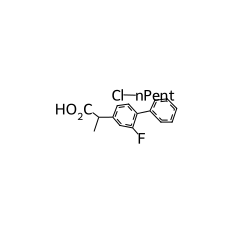 CC(C(=O)O)c1ccc(-c2ccccc2)c(F)c1.CCCCCCl